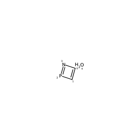 C1=CP=N1.O